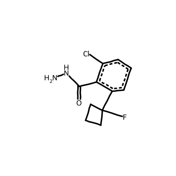 NNC(=O)c1c(Cl)cccc1C1(F)CCC1